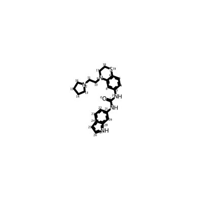 O=C(Nc1ccc2c(c1)N(CCN1CCCC1)CCS2)Nc1ccc2cc[nH]c2c1